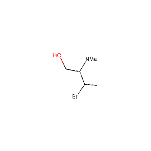 CCC(C)C(CO)NC